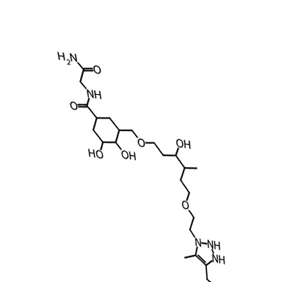 CC1=C(CO)NNN1CCOCCC(C)C(O)CCOCC1CC(C(=O)NCC(N)=O)CC(O)C1O